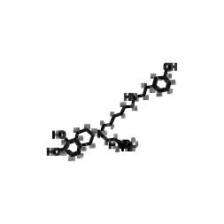 Br.Br.CCCN(CCCCCCNCCc1cccc(O)c1)[C@H]1CCc2c(ccc(O)c2O)C1